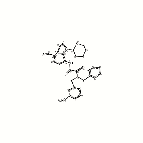 CC(=O)Nc1cccc(CN(Cc2ccccc2)C(=O)C(=O)Nc2cnc(NC(C)=O)c3cnn(C4CCCCO4)c23)c1